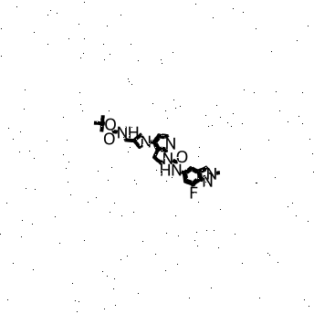 Cn1cc2cc(NC(=O)N3CCc4c(N5CC(CNC(=O)OC(C)(C)C)C5)ccnc43)cc(F)c2n1